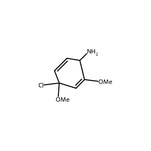 COC1=CC(Cl)(OC)C=CC1N